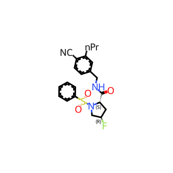 CCCc1cc(CNC(=O)[C@@H]2C[C@@H](F)CN2S(=O)(=O)c2ccccc2)ccc1C#N